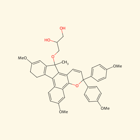 COC1=CC2=C(CC1)c1c(c3c(c4cc(OC)ccc14)OC(c1ccc(OC)cc1)(c1ccc(OC)cc1)C=C3)C2(C)OCC(O)CO